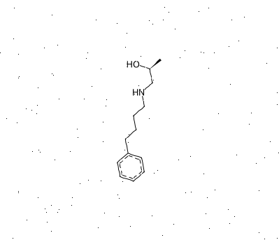 C[C@H](O)CNCCCCc1ccccc1